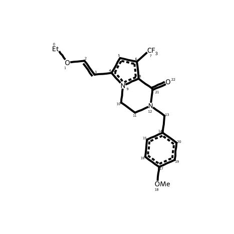 CCOC=Cc1cc(C(F)(F)F)c2n1CCN(Cc1ccc(OC)cc1)C2=O